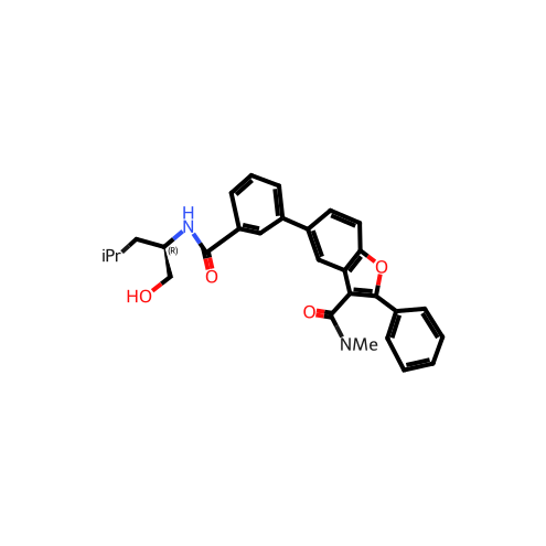 CNC(=O)c1c(-c2ccccc2)oc2ccc(-c3cccc(C(=O)N[C@@H](CO)CC(C)C)c3)cc12